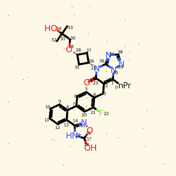 CCCc1c(Cc2ccc(-c3ccccc3C3=NOC(O)N3)cc2F)c(=O)n([C@H]2C[C@@H](OCC(C)(C)O)C2)c2ncnn12